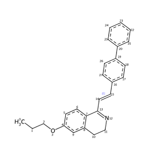 CCCOc1ccc2c(c1)CCN=C2/C=C/c1ccc(-c2ccccc2)cc1